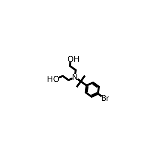 CC(C)(c1ccc(Br)cc1)N(CCO)CCO